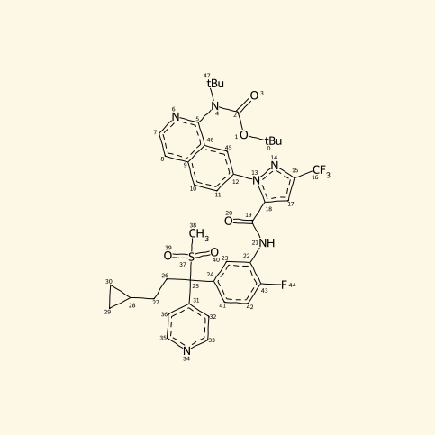 CC(C)(C)OC(=O)N(c1nccc2ccc(-n3nc(C(F)(F)F)cc3C(=O)Nc3cc(C(CCC4CC4)(c4ccncc4)S(C)(=O)=O)ccc3F)cc12)C(C)(C)C